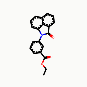 CCOC(=O)c1cccc(N2C(=O)c3cccc4cccc2c34)c1